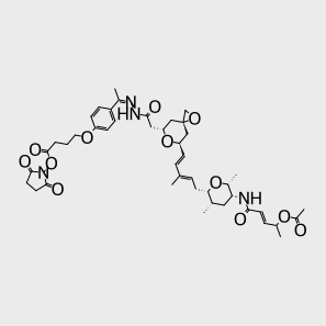 CC(=O)OC(C)C=CC(=O)N[C@@H]1C[C@H](C)[C@H](CC=C(C)C=C[C@@H]2C[C@]3(CO3)C[C@@H](CC(=O)NN=C(C)c3ccc(OCCCC(=O)ON4C(=O)CCC4=O)cc3)O2)O[C@@H]1C